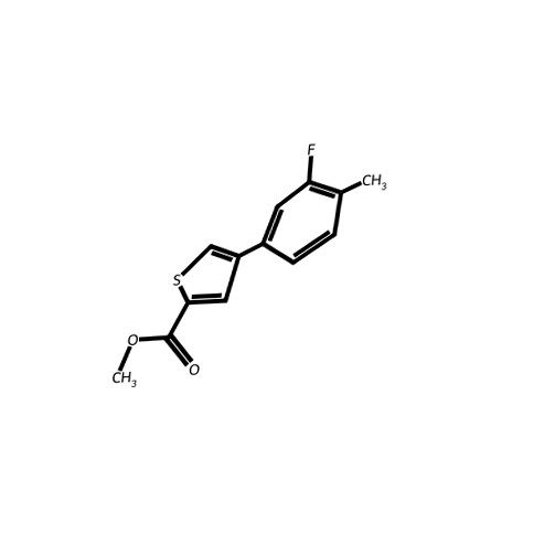 COC(=O)c1cc(-c2ccc(C)c(F)c2)cs1